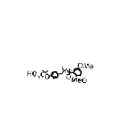 COc1ccc(OC)c(C(=O)NC(C)Cc2ccc(OC(C)(C)C(=O)O)cc2)c1